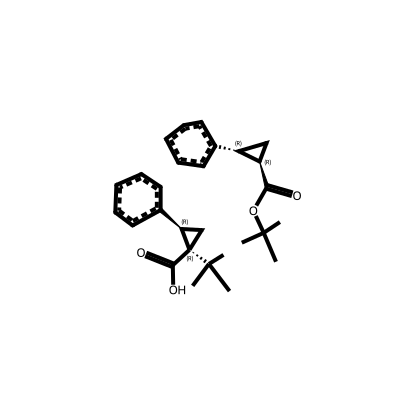 CC(C)(C)OC(=O)[C@@H]1C[C@H]1c1ccccc1.CC(C)(C)[C@@]1(C(=O)O)C[C@@H]1c1ccccc1